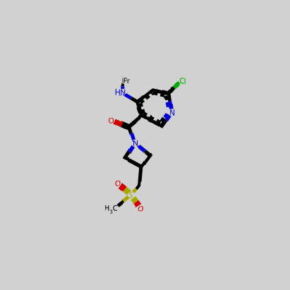 CC(C)Nc1cc(Cl)ncc1C(=O)N1CC(CS(C)(=O)=O)C1